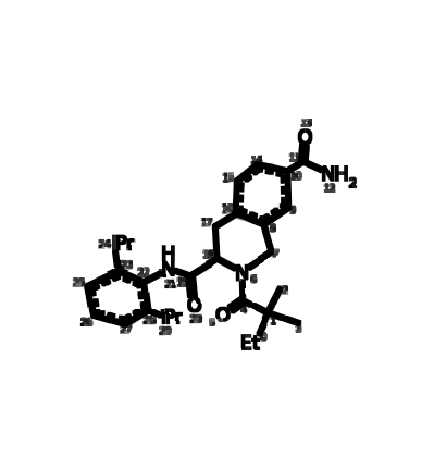 CCC(C)(C)C(=O)N1Cc2cc(C(N)=O)ccc2CC1C(=O)Nc1c(C(C)C)cccc1C(C)C